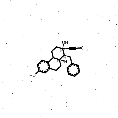 CC#C[C@@]1(O)CCC2c3ccc(O)cc3CC[C@H]2[C@@H]1Cc1ccccc1